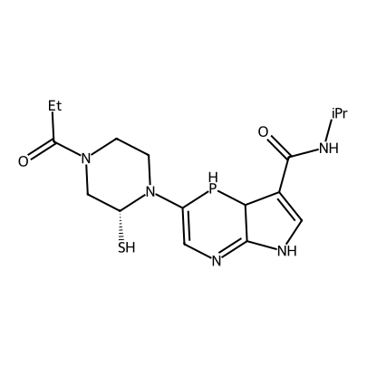 CCC(=O)N1CCN(C2=CN=C3NC=C(C(=O)NC(C)C)C3P2)[C@H](S)C1